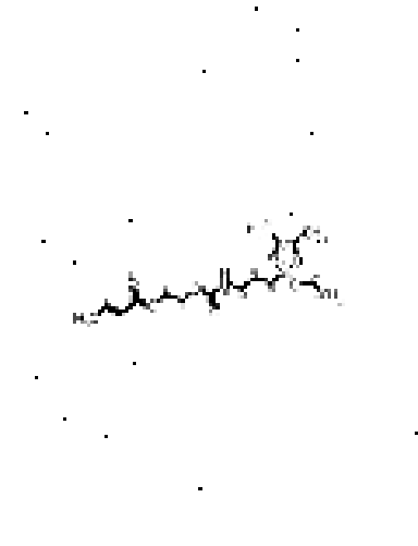 CC=CC(=O)OCCOC(=O)NCCC[Si](OCC)(OCC)OCC